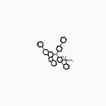 CC1(C)c2ccccc2-c2ccc(N(c3ccc(-c4ccccc4)cc3)c3cc4cc(-c5ccccc5)ccc4c4sc5ccccc5c34)cc21